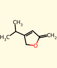 C=C1C=C(C(C)C)CO1